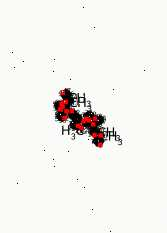 CC1(C)c2ccccc2-c2ccc(N(c3ccc4c(c3)C(C)(C)c3cccc5c3c-4cc3ccc(N(c4ccc6c(c4)C(C)(C)c4ccccc4-6)c4ccccc4-c4ccccc4)cc35)c3ccccc3-c3ccccc3)cc21